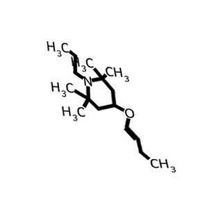 CCC=COC1CC(C)(C)N(CCC)C(C)(C)C1